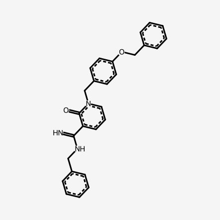 N=C(NCc1ccccc1)c1cccn(Cc2ccc(OCc3ccccc3)cc2)c1=O